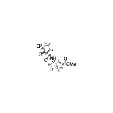 COC(=O)c1ccc2c(c1)C(NC(=O)c1cccc(Cl)c1Cl)CC2